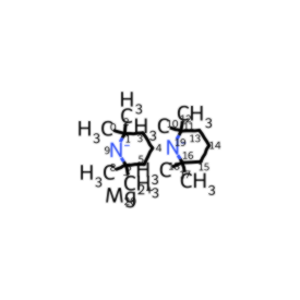 CC1(C)CCCC(C)(C)[N-]1.CC1(C)CCCC(C)(C)[N-]1.[Mg+2]